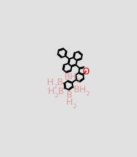 Bc1c(B)c(B)c(-c2ccc3occ(-c4c5ccccc5c(-c5ccccc5)c5ccccc45)c3c2)c(B)c1B